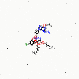 CCCCCOC(=O)C[C@H](NP(=O)(OC[C@@H]1C=C[C@H](n2cnc3c(OC)nc(N)nc32)C1)Oc1ccc(Br)cc1)C(=O)OCCCCC